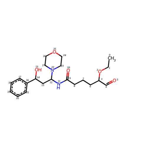 CCOC(C=O)CCCC(=O)NC(CC(O)c1ccccc1)N1CCOCC1